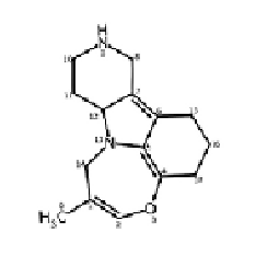 CC1=COC2=C3C(=C4CNCCC4N3C1)CCC2